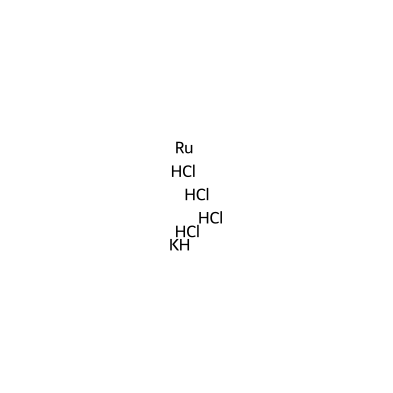 Cl.Cl.Cl.Cl.[KH].[Ru]